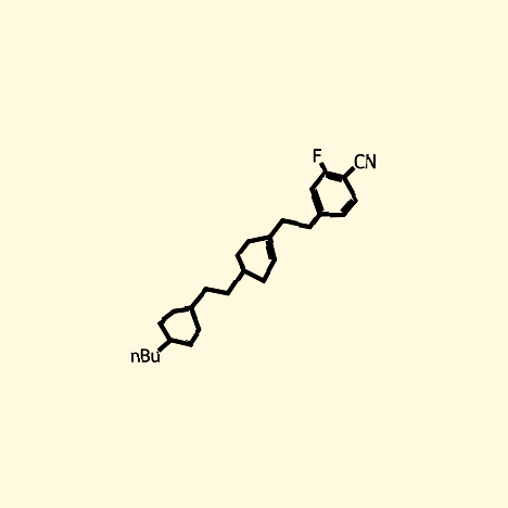 CCCCC1CCC(CCC2CC=C(CCc3ccc(C#N)c(F)c3)CC2)CC1